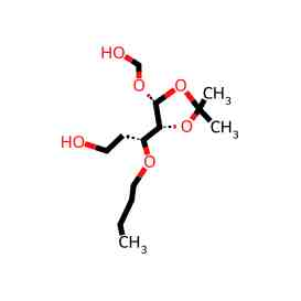 CCCCO[C@H](CCO)[C@H]1OC(C)(C)O[C@H]1OCO